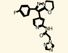 O=C(Cn1cncn1)Nc1cc(-c2c(-c3ccc(F)cc3)nn3c2OCCC3)ccn1